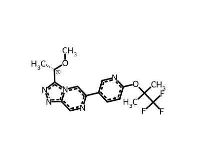 CO[C@@H](C)c1nnc2cnc(-c3ccc(OC(C)(C)C(F)(F)F)nc3)cn12